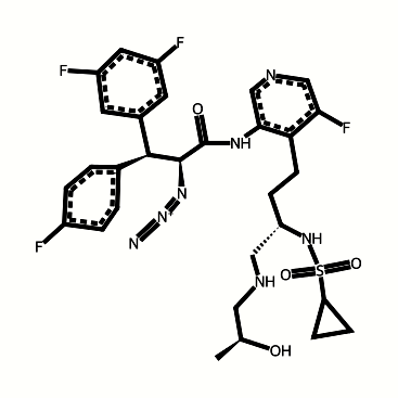 C[C@H](O)CNC[C@H](CCc1c(F)cncc1NC(=O)[C@@H](N=[N+]=[N-])[C@@H](c1ccc(F)cc1)c1cc(F)cc(F)c1)NS(=O)(=O)C1CC1